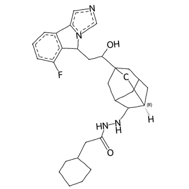 O=C(CC1CCCCC1)NNC1C2CC3C[C@@H]1CC(C(O)CC1c4c(F)cccc4-c4cncn41)(C3)C2